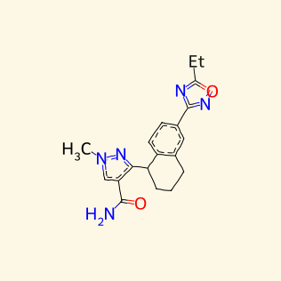 CCc1nc(-c2ccc3c(c2)CCCC3c2nn(C)cc2C(N)=O)no1